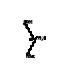 CCCCCCCCCCCCCCCC=CC=C(C(=O)O)C(=O)CCCCCCCCCCCCCCCCCC